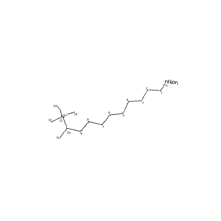 CCCCCCCCCCCCCCCCCCC(C)[N+](C)(C)C